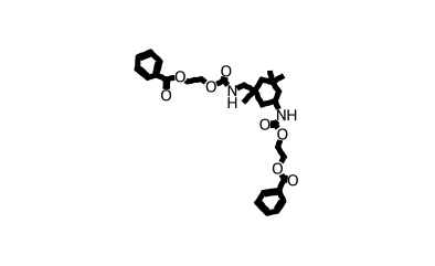 CC1(C)CC(NC(=O)OCCOC(=O)c2ccccc2)CC(C)(CNC(=O)OCCOC(=O)c2ccccc2)C1